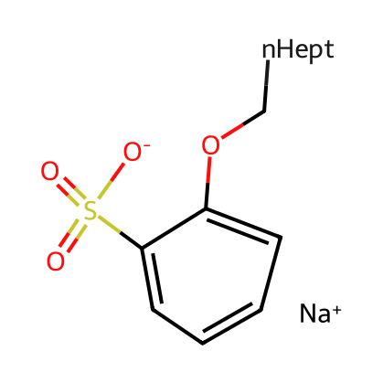 CCCCCCCCOc1ccccc1S(=O)(=O)[O-].[Na+]